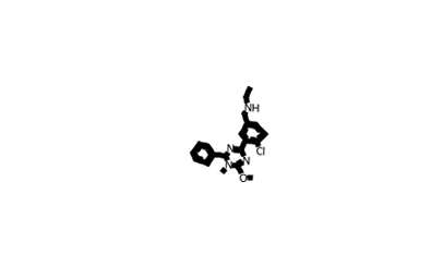 CCNCc1ccc(Cl)c(C2=NC(c3ccccc3)N(C)C(OC)=N2)c1